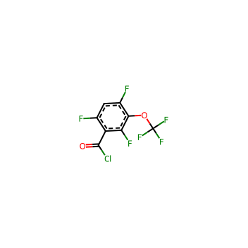 O=C(Cl)c1c(F)cc(F)c(OC(F)(F)F)c1F